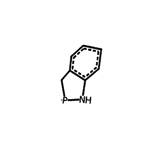 c1ccc2c(c1)C[P]N2